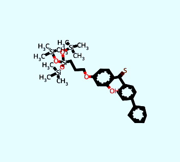 C[Si](C)(C)O[Si](CCCOc1ccc(C(=S)c2ccc(-c3ccccc3)cc2)c(O)c1)(O[Si](C)(C)C)O[Si](C)(C)C